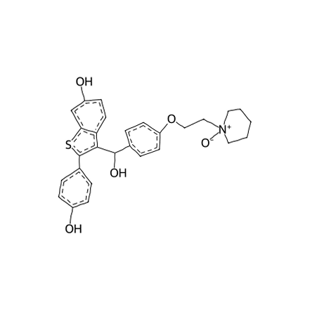 [O-][N+]1(CCOc2ccc(C(O)c3c(-c4ccc(O)cc4)sc4cc(O)ccc34)cc2)CCCCC1